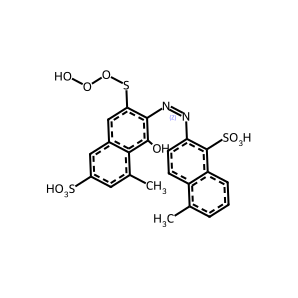 Cc1cccc2c(S(=O)(=O)O)c(/N=N\c3c(SOOO)cc4cc(S(=O)(=O)O)cc(C)c4c3O)ccc12